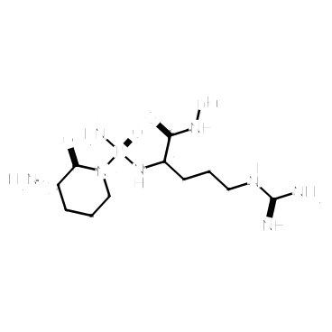 CCCNC(=O)C(CCCNC(=N)N)NP(N)(=O)N1CCC[C@H](N)C1=O